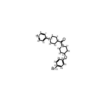 O=C(C1CCN(c2ccncc2)CC1)N1CCC(Oc2ccc(Br)cc2)CC1